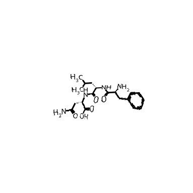 CC(C)C[C@H](NC(=O)[C@@H](N)Cc1ccccc1)C(=O)N[C@@H](CC(N)=O)C(=O)O